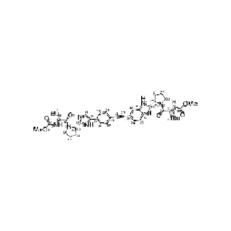 CC[C@@H](C)[C@H](NC(=O)OC)C(=O)N1CCC[C@H]1c1ncc(-c2ccc(C#Cc3ccc4nc([C@@H]5CCCN5C(=O)[C@@H](NC(=O)OC)[C@H](C)CC)[nH]c4c3)cc2)[nH]1